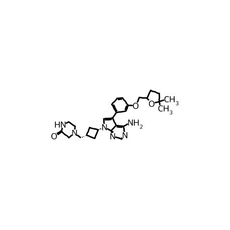 CC1(C)CCC(COc2cccc(-c3cn([C@H]4C[C@@H](CN5CCNC(=O)C5)C4)c4ncnc(N)c34)c2)O1